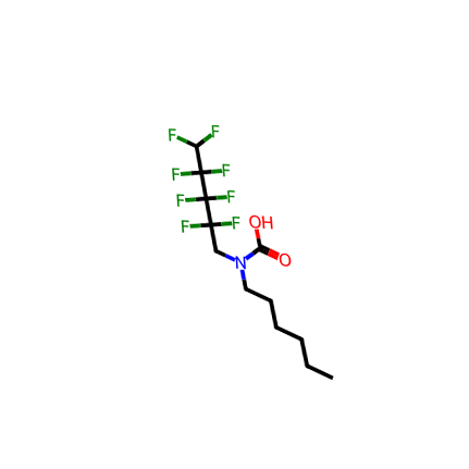 CCCCCCN(CC(F)(F)C(F)(F)C(F)(F)C(F)F)C(=O)O